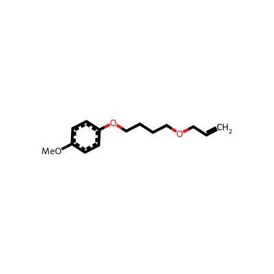 C=CCOCCCCOc1ccc(OC)cc1